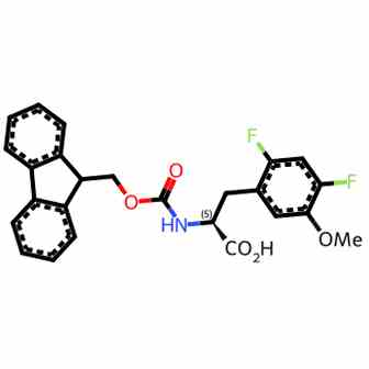 COc1cc(C[C@H](NC(=O)OCC2c3ccccc3-c3ccccc32)C(=O)O)c(F)cc1F